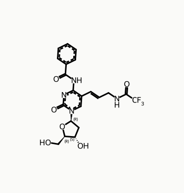 O=C(Nc1nc(=O)n([C@H]2C[C@H](O)[C@@H](CO)O2)cc1C=CCNC(=O)C(F)(F)F)c1ccccc1